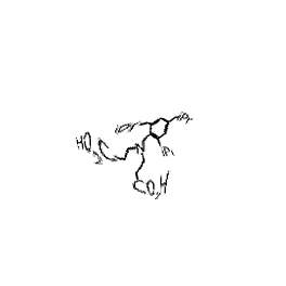 CC(C)c1cc(C(C)C)c(N(CCC(=O)O)CCC(=O)O)c(C(C)C)c1